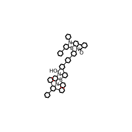 O=c1c2ccccc2c2ccc3c4c2n1-c1ccc(-c2ccc(-c5ccc6c(c5)-c5cccc7c5N(c5cccc8c5B7c5ccccc5N8c5c(-c7ccccc7)cc(-c7ccccc7)cc5-c5ccccc5)C6O)cc2)cc1B4c1cc(-c2ccccc2)ccc1N3c1ccccc1